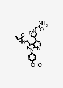 C=CC(=O)NCc1nn(-c2ccc(C=O)cc2)c2nccc(-c3cnn(CC(N)=O)c3)c12